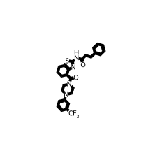 O=C(CCc1ccccc1)Nc1nc2c(s1)CCCC2C(=O)N1CCN(c2cccc(C(F)(F)F)c2)CC1